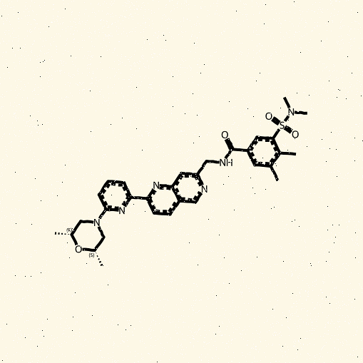 Cc1cc(C(=O)NCc2cc3nc(-c4cccc(N5C[C@@H](C)O[C@@H](C)C5)n4)ccc3cn2)cc(S(=O)(=O)N(C)C)c1C